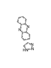 c1c[nH]nn1.c1ccc2nc3ccccc3nc2c1